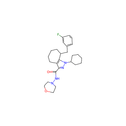 O=C(NN1CCOCC1)c1nn(C2CCCCC2)c2c1CCCCC2Cc1cccc(F)c1